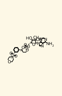 C[C@@]1(O)[C@H](O)[C@@H](CO[P@@]2(=O)OCC[C@@H](c3cccc(S(=O)(=O)N4CCOCC4)c3)O2)O[C@H]1n1cnc2c(N)ncnc21